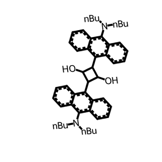 CCCCN(CCCC)c1c2ccccc2c(C2C(O)C(c3c4ccccc4c(N(CCCC)CCCC)c4ccccc34)C2O)c2ccccc12